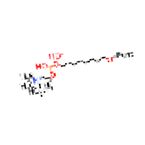 CCCCCOCCCCCCCCOP(O)O[C@H](CC(=O)O)C[N+](C)(C)C.[OH-]